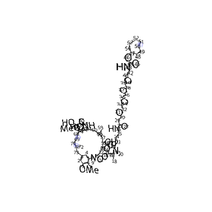 COc1cc2cc(c1C)N(C)C(=O)C[C@H](OC(=O)[C@H](C)N(C)C(=O)CCCNC(=O)CCOCCOCCOCCOCCNC(=O)OC1CC/C=C/CCC1)C(O)C[C@H](C)CC[C@@](O)(NC(=O)O)[C@H](OC)/C=C/C=C(\C)C2